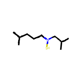 CC(C)CCCN(S)CC(C)C